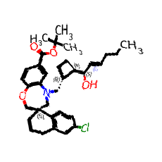 CCC/C=C/[C@@H](O)[C@@H]1CC[C@H]1CN1C[C@@]2(CCCc3cc(Cl)ccc32)COc2ccc(C(=O)OC(C)(C)C)cc21